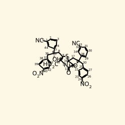 N#Cc1cccc([C@@](O)(CC2=C(C(=O)O)N3C(=O)CC3(C[C@@](O)(Cc3ccc([N+](=O)[O-])cc3)c3cccc(C#N)c3)S2)Cc2ccc([N+](=O)[O-])cc2)c1